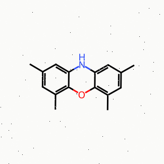 Cc1cc(C)c2c(c1)Nc1cc(C)cc(C)c1O2